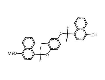 COc1ccc(C(F)(F)Oc2ccc(OC(F)(F)c3ccc(O)c4ccccc34)cc2C)c2ccccc12